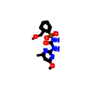 COCc1ccccc1S(=O)(=O)NC(=O)Nc1nc(C)cc(OC)n1